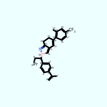 C=C(C)c1ccc(C(CC(C)C)B2C=C3C=C(c4ccc(C(F)(F)F)cc4C)CCC3=N2)cc1